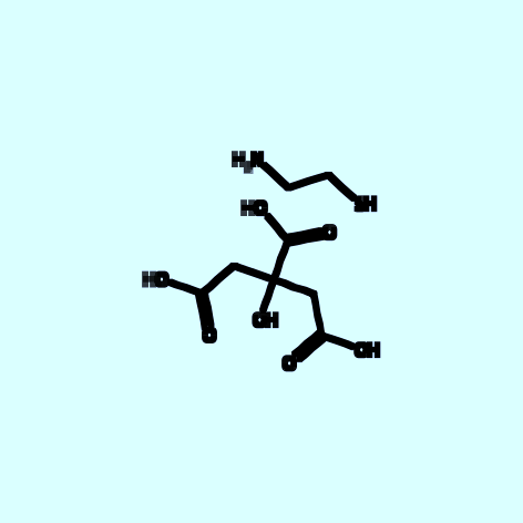 NCCS.O=C(O)CC(O)(CC(=O)O)C(=O)O